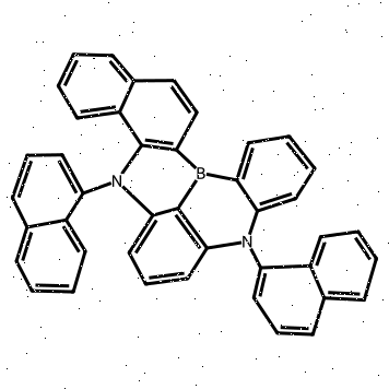 c1ccc2c(c1)B1c3ccc4ccccc4c3N(c3cccc4ccccc34)c3cccc(c31)N2c1cccc2ccccc12